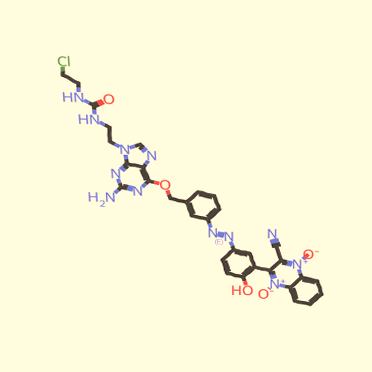 N#Cc1c(-c2cc(/N=N/c3cccc(COc4nc(N)nc5c4ncn5CCNC(=O)NCCCl)c3)ccc2O)[n+]([O-])c2ccccc2[n+]1[O-]